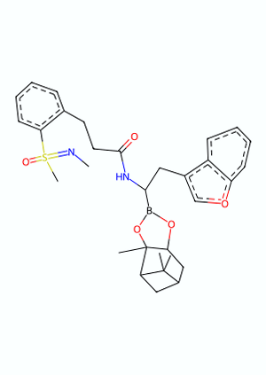 CN=S(C)(=O)c1ccccc1CCC(=O)NC(Cc1coc2ccccc12)B1OC2CC3CC(C3(C)C)C2(C)O1